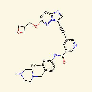 CN1CCN(Cc2ccc(NC(=O)c3cncc(C#Cc4cnc5ccc(OCC6COC6)nn45)c3)cc2C(F)(F)F)CC1